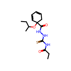 CCC(=O)NC(=S)NNC(=O)C1(OC(C)CC)C=CC=CC1